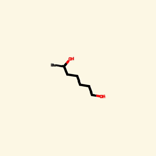 CCC(C)C(O)CCCCCO